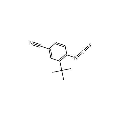 CC(C)(C)c1cc(C#N)ccc1N=C=S